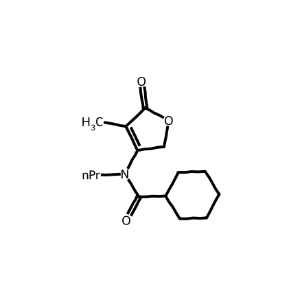 CCCN(C(=O)C1CCCCC1)C1=C(C)C(=O)OC1